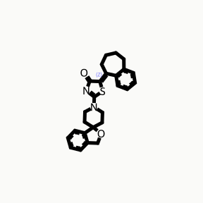 O=C1N=C(N2CCC3(CC2)OCc2ccccc23)S/C1=C1/CCCCc2ccccc21